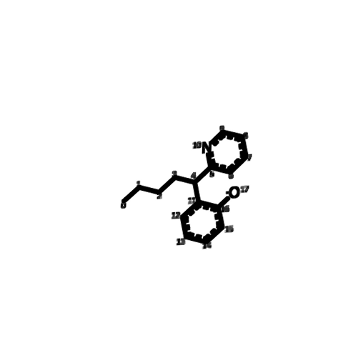 CCCCC(c1ccccn1)c1ccccc1[O]